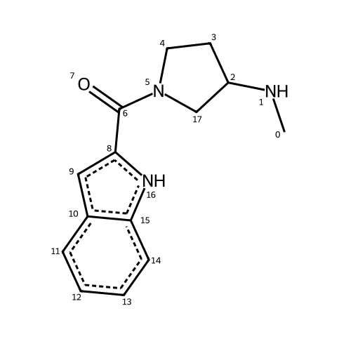 CNC1CCN(C(=O)c2cc3ccccc3[nH]2)C1